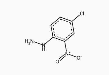 NNc1ccc(Cl)cc1[N+](=O)[O-]